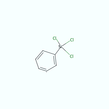 Cl[Si](Cl)(Cl)c1c[c]ccc1